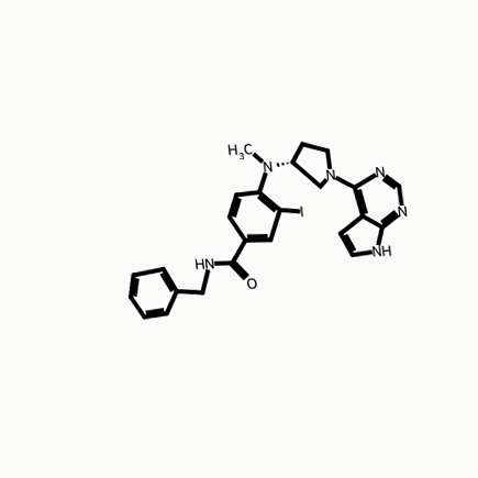 CN(c1ccc(C(=O)NCc2ccccc2)cc1I)[C@@H]1CCN(c2ncnc3[nH]ccc23)C1